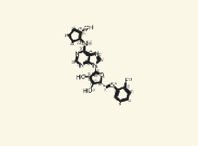 O[C@@H]1[C@H](O)[C@@H](CSc2ccccc2F)O[C@H]1n1cnc2c(NC3CCC[C@H]3O)ncnc21